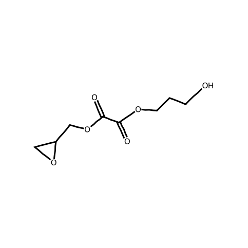 O=C(OCCCO)C(=O)OCC1CO1